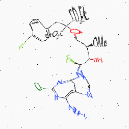 CCOC(=O)C(Cc1ccc(F)cc1)(OC[C@@H](OC)[C@@H](O)[C@H](F)n1cnc2c(N)nc(Cl)nc21)C(=O)OCC